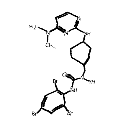 CN(C)c1ccnc(NC2CCC(N(S)C(=O)Nc3c(Br)cc(Br)cc3Br)CC2)n1